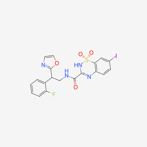 O=C(NCC(c1ncco1)c1ccccc1F)C1=Nc2ccc(I)cc2S(=O)(=O)N1